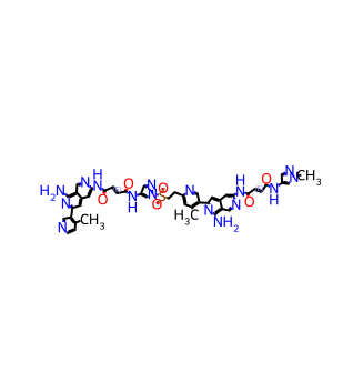 Cc1ccncc1-c1cc2cc(NC(=O)/C=C/C(=O)Nc3cnn(S(=O)(=O)CCc4cc(C)c(-c5cc6cc(NC(=O)/C=C/C(=O)Nc7cnn(C)c7)ncc6c(N)n5)cn4)c3)ncc2c(N)n1